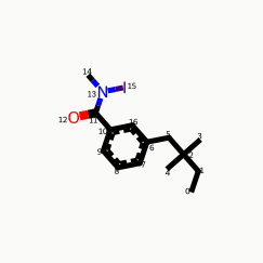 CCC(C)(C)Cc1cccc(C(=O)N(C)I)c1